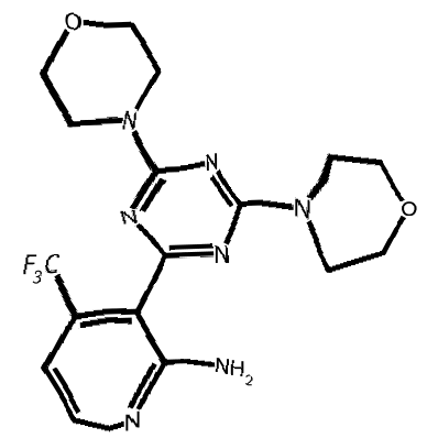 Nc1nccc(C(F)(F)F)c1-c1nc(N2CCOCC2)nc(N2CCOCC2)n1